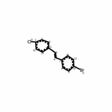 Clc1ccc(C=Cc2ccc(Br)cc2)cc1